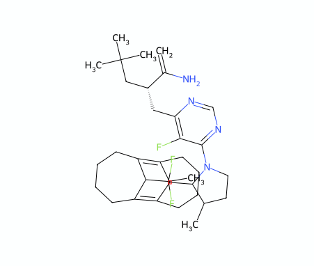 C=C(N)[C@H](Cc1ncnc(N2CCC(C)C2C2C3=C4CCCCC(=C2CCCC3)C4C(C)(F)F)c1F)CC(C)(C)C